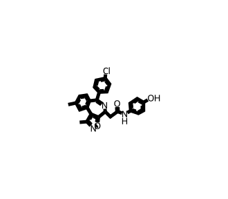 Cc1ccc2c(c1)-c1c(C)noc1C(CC(=O)Nc1ccc(O)cc1)N=C2c1ccc(Cl)cc1